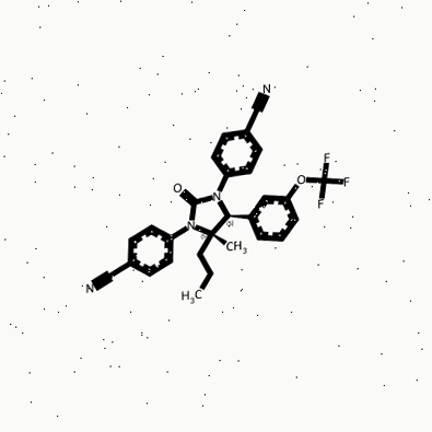 CCC[C@@]1(C)[C@H](c2cccc(OC(F)(F)F)c2)N(c2ccc(C#N)cc2)C(=O)N1c1ccc(C#N)cc1